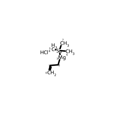 C=C[CH2][Mg][Si](C)(C)C.Cl